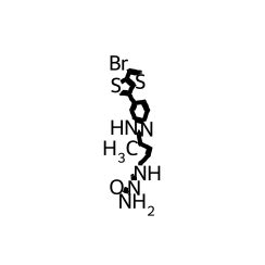 CC(/C=C\CN/C=N/C(N)=O)c1nc2ccc(-c3csc4c(Br)csc34)cc2[nH]1